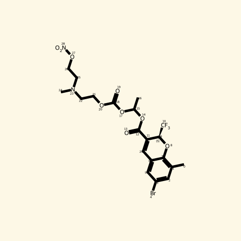 Cc1cc(Br)cc2c1O[C@H](C(F)(F)F)C(C(=O)OC(C)OC(=O)OCCN(C)CCO[N+](=O)[O-])=C2